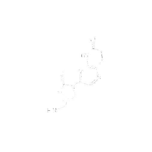 NC[Si@H]1CN(c2cnc3c(n2)NC(=O)CS3)C(=O)O1